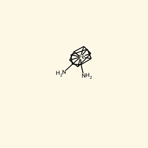 N[C]12[CH]3[CH]4[CH]5[C]1(N)[Fe]43521678[CH]2[CH]1[CH]6[CH]7[CH]28